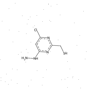 NNc1cc(Cl)nc(CS)n1